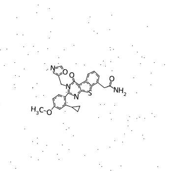 COc1ccc(-c2nc3sc4c(CC(N)=O)cccc4c3c(=O)n2Cc2cnco2)c(C2CC2)c1